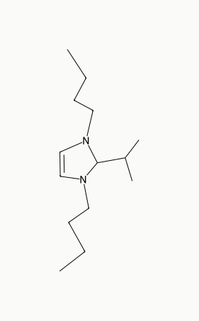 CCCCN1C=CN(CCCC)C1C(C)C